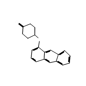 O=C1CCC(Sc2cccc3cc4ccccc4cc23)CC1